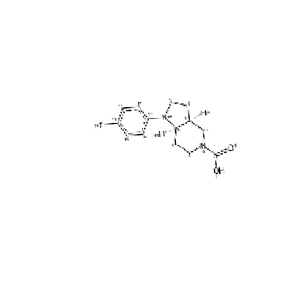 O=C(O)N1CC[C@@H]2[C@@H](CCN2c2ccc(F)cc2)C1